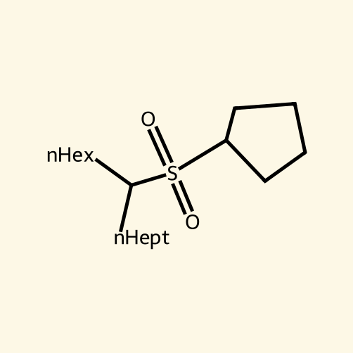 CCCCCCCC(CCCCCC)S(=O)(=O)C1CCCC1